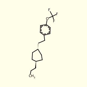 CCC[C@H]1CC[C@H](CCc2ccc(OC(F)(F)F)cc2)CC1